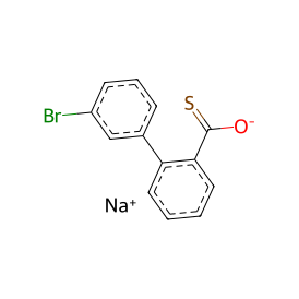 [Na+].[O-]C(=S)c1ccccc1-c1cccc(Br)c1